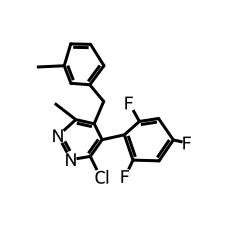 Cc1cccc(Cc2c(C)nnc(Cl)c2-c2c(F)cc(F)cc2F)c1